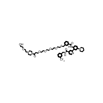 O=C(NCc1cccc(C(F)(F)F)c1)c1ccnc(-c2cc(N3CCCCC3)ccc2NC(=O)c2cccc(CSCCOCCOCCOCCOCCC(=O)N3CCN(CCOCCO)CC3)c2)c1